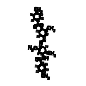 CC1=CC(/C=N/C2=C(C)C=C(NC(=O)c3ccc(C)cc3)C(C)C2)=CCC1OC(=O)c1ccc(C)cc1